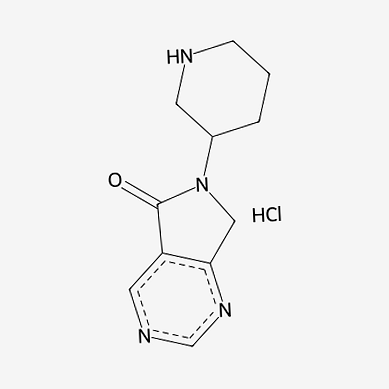 Cl.O=C1c2cncnc2CN1C1CCCNC1